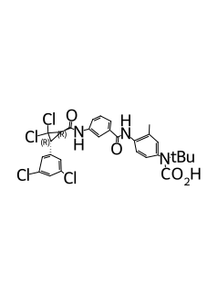 Cc1cc(N(C(=O)O)C(C)(C)C)ccc1NC(=O)c1cccc(NC(=O)[C@H]2[C@H](c3cc(Cl)cc(Cl)c3)C2(Cl)Cl)c1